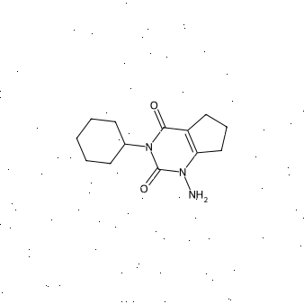 Nn1c2c(c(=O)n(C3CCCCC3)c1=O)CCC2